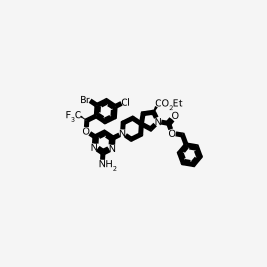 CCOC(=O)[C@@H]1CC2(CCN(c3cc(O[C@@H](c4ccc(Cl)cc4Br)C(F)(F)F)nc(N)n3)CC2)CN1C(=O)OCc1ccccc1